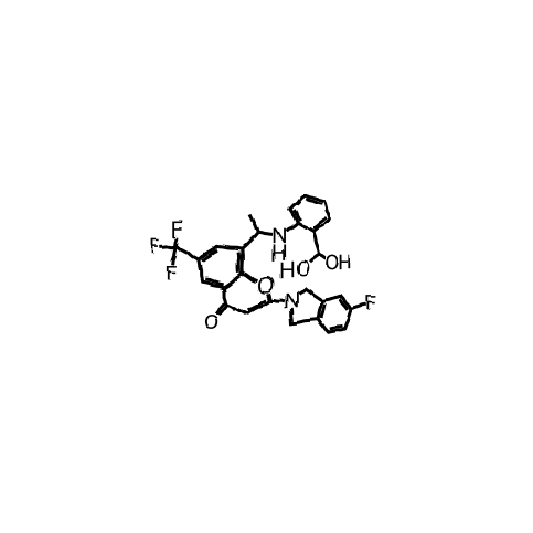 CC(Nc1ccccc1C(O)O)c1cc(C(F)(F)F)cc2c(=O)cc(N3Cc4ccc(F)cc4C3)oc12